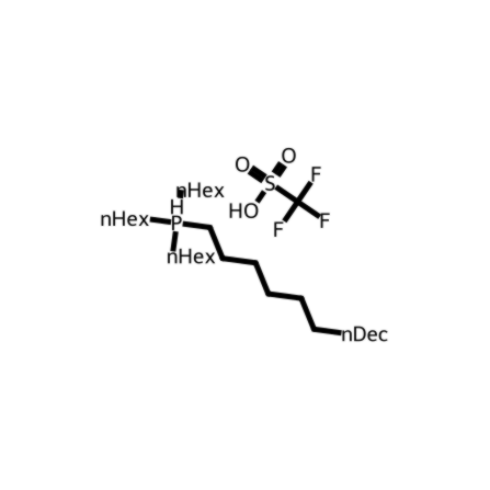 CCCCCCCCCCCCCCCC[PH](CCCCCC)(CCCCCC)CCCCCC.O=S(=O)(O)C(F)(F)F